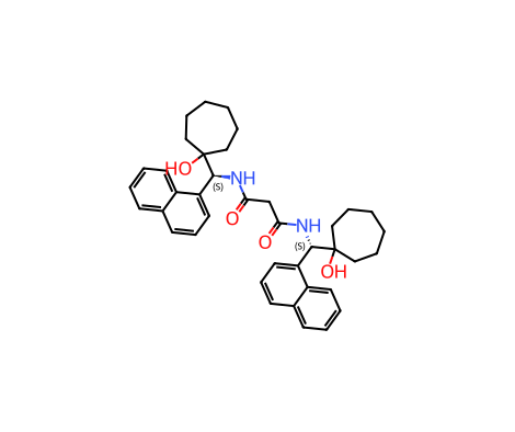 O=C(CC(=O)N[C@@H](c1cccc2ccccc12)C1(O)CCCCCC1)N[C@@H](c1cccc2ccccc12)C1(O)CCCCCC1